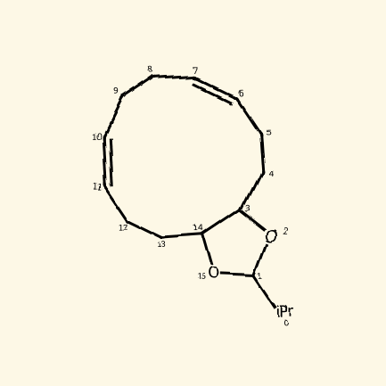 CC(C)C1OC2CC/C=C\CC/C=C\CCC2O1